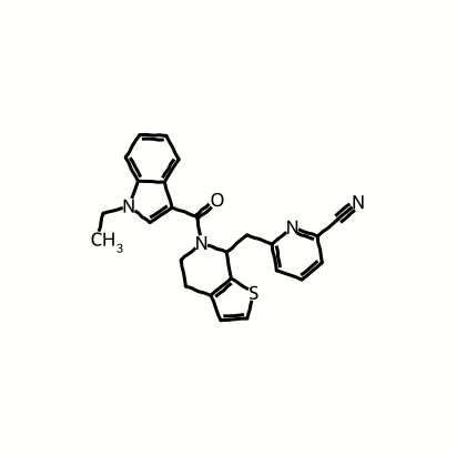 CCn1cc(C(=O)N2CCc3ccsc3C2Cc2cccc(C#N)n2)c2ccccc21